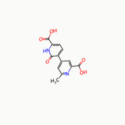 Cc1cc(-c2ccc(C(=O)O)[nH]c2=O)cc(C(=O)O)n1